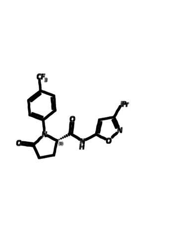 CC(C)c1cc(NC(=O)[C@@H]2CCC(=O)N2c2ccc(C(F)(F)F)cc2)on1